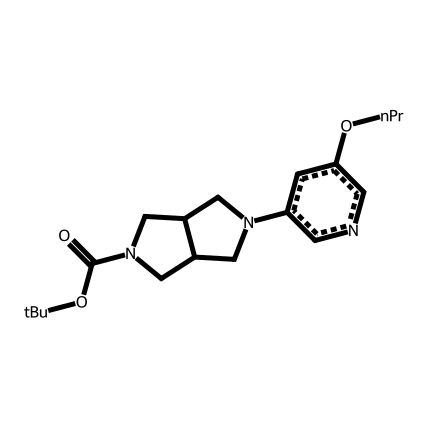 CCCOc1cncc(N2CC3CN(C(=O)OC(C)(C)C)CC3C2)c1